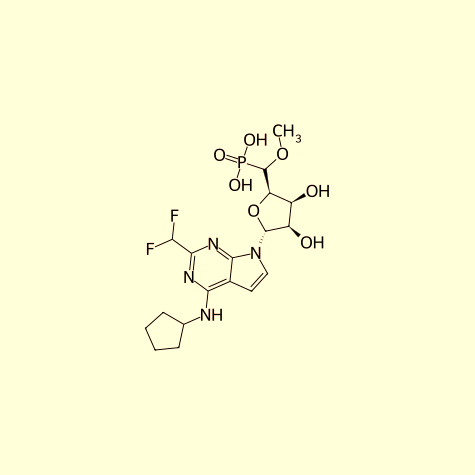 COC([C@@H]1O[C@@H](n2ccc3c(NC4CCCC4)nc(C(F)F)nc32)[C@H](O)[C@@H]1O)P(=O)(O)O